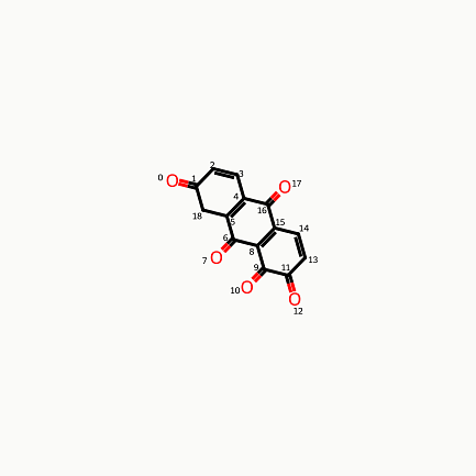 O=C1C=Cc2c(c(=O)c3c(=O)c(=O)ccc=3c2=O)C1